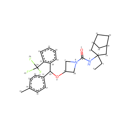 CCC1(NC(=O)N2CC(OC(c3ccc(C)cc3)c3ccccc3C(F)(F)F)C2)CC2CCC(C2)C1